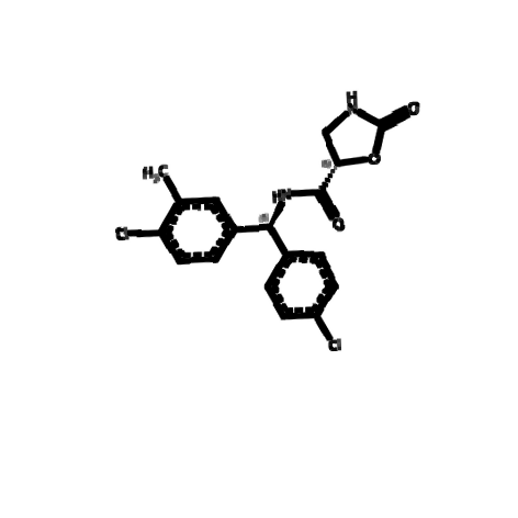 Cc1cc([C@@H](NC(=O)[C@@H]2CNC(=O)O2)c2ccc(Cl)cc2)ccc1Cl